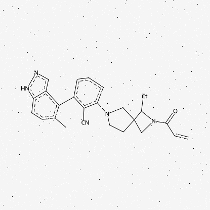 C=CC(=O)N1CC2(CCN(c3cccc(-c4c(C)ccc5[nH]ncc45)c3C#N)C2)C1CC